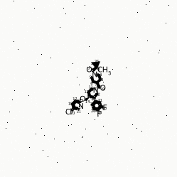 CC1(C(=O)N2CCC(C(=O)N3CC[C@H](COc4ccc(Cl)cn4)[C@@H](c4ccc(F)c(F)c4)C3)CC2)CC1